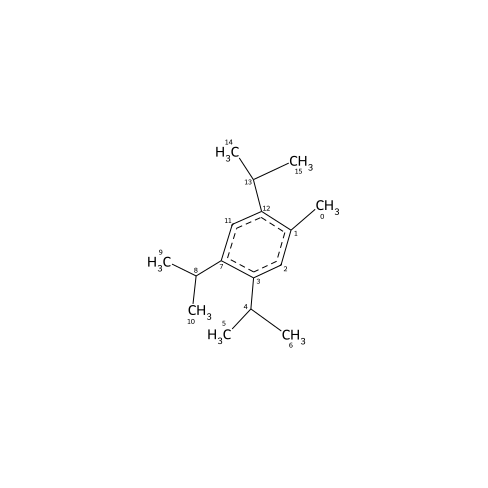 Cc1cc(C(C)C)c(C(C)C)cc1C(C)C